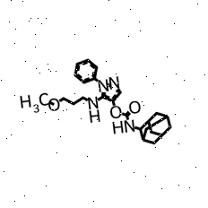 COCCCNc1c(OC(=O)NC2C3CC4CC(C3)CC2C4)cnn1-c1ccccc1